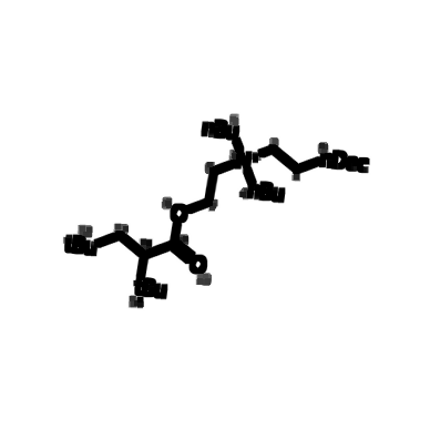 CCCCCCCCCCCC[N+](CCCC)(CCCC)CCOC(=O)C(CC(C)(C)C)C(C)(C)C